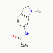 COC(=O)Nc1ccc2c(c1)N(C(C)=O)CC2